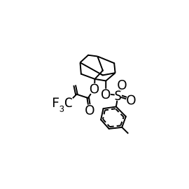 C=C(C(=O)OC12CC3CC(CC(C3)C1OS(=O)(=O)c1cccc(C)c1)C2)C(F)(F)F